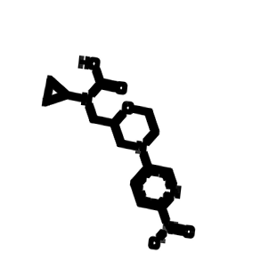 O=C(O)N(CC1CN(c2ccc([N+](=O)[O-])nc2)CCO1)C1CC1